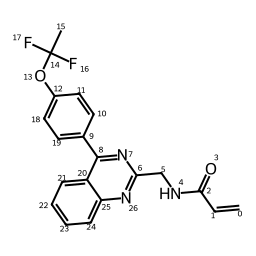 C=CC(=O)NCc1nc(-c2ccc(OC(C)(F)F)cc2)c2ccccc2n1